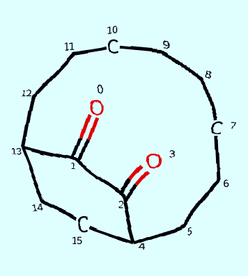 O=C1C(=O)C2CCCCCCCCC1CC2